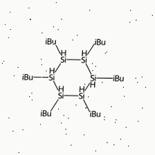 CCC(C)[SiH]1[SiH](C(C)CC)[SiH](C(C)CC)[SiH](C(C)CC)[SiH](C(C)CC)[SiH]1C(C)CC